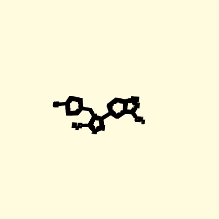 Cc1n[nH]c2ccc(-c3nnc(C)n3Cc3ccc(Cl)cc3)cc12